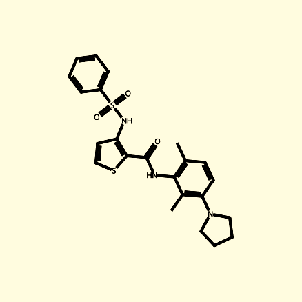 Cc1ccc(N2CCCC2)c(C)c1NC(=O)c1sccc1NS(=O)(=O)c1ccccc1